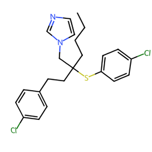 CCCCC(CCc1ccc(Cl)cc1)(Cn1ccnc1)Sc1ccc(Cl)cc1